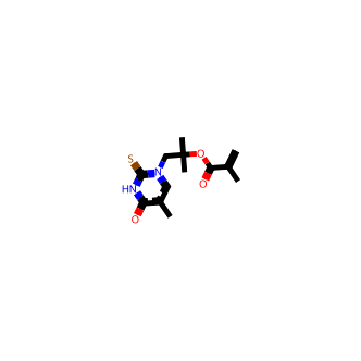 C=C(C)C(=O)OC(C)(C)Cn1cc(C)c(=O)[nH]c1=S